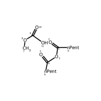 CCCCCC(=O)OC(=O)CCCCC.COC(=O)O